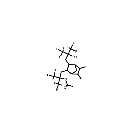 CC(=O)OC(CC1C2CC(C(C)C2C)C1CC(O)(C(F)(F)F)C(F)(F)F)(C(F)(F)F)C(F)(F)F